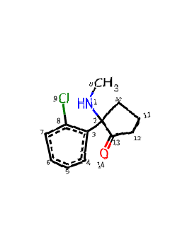 CNC1(c2ccccc2Cl)CCCC1=O